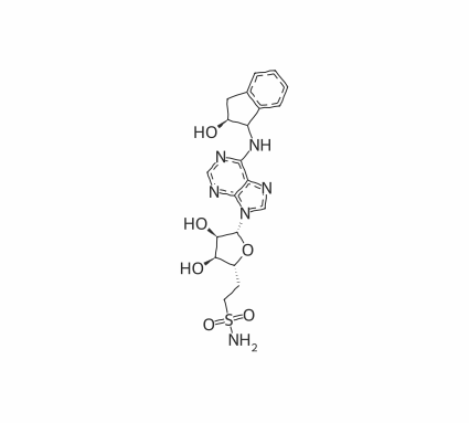 NS(=O)(=O)CC[C@H]1O[C@@H](n2cnc3c(NC4c5ccccc5C[C@@H]4O)ncnc32)[C@H](O)[C@@H]1O